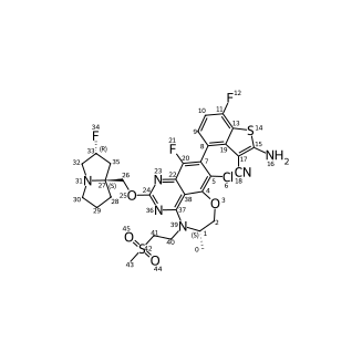 C[C@H]1COc2c(Cl)c(-c3ccc(F)c4sc(N)c(C#N)c34)c(F)c3nc(OC[C@@]45CCCN4C[C@H](F)C5)nc(c23)N1CCS(C)(=O)=O